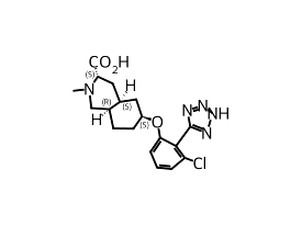 CN1C[C@@H]2CC[C@H](Oc3cccc(Cl)c3-c3nn[nH]n3)C[C@@H]2C[C@H]1C(=O)O